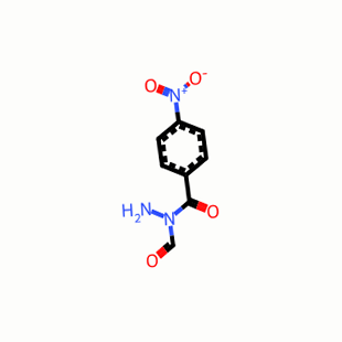 NN(C=O)C(=O)c1ccc([N+](=O)[O-])cc1